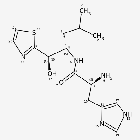 CC(C)C[C@H](NC(=O)[C@@H](N)Cc1c[nH]cn1)[C@@H](O)c1nccs1